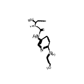 CC(NC(=S)Nc1ccc(NCCO)nc1)C(C)(C)C